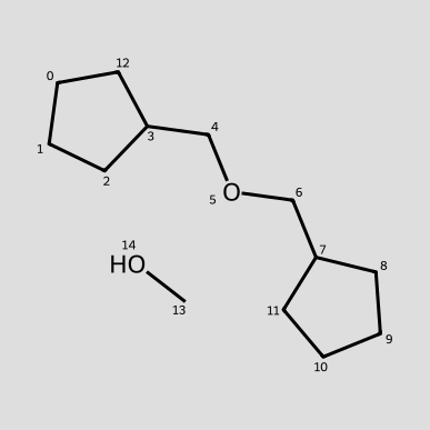 C1CCC(COCC2CCCC2)C1.CO